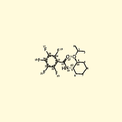 CC(C)O[C@H]1CCCC[C@@H]1NC(=O)c1c(F)c(F)c(F)c(F)c1F